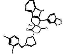 O=C1[C@H]2Cc3c([nH]c4ccccc34)[C@@H](c3ccc4c(c3)OCO4)N2C(=O)CN1[C@@H]1CCN(Cc2ccc(F)cc2F)C1